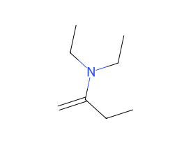 C=C(CC)N(CC)CC